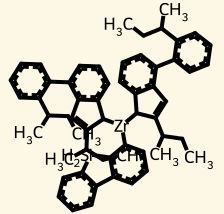 CCC(C)C1=Cc2c(-c3ccccc3C(C)CC)cccc2[CH]1[Zr]([c]1cccc2c1[SiH2]c1ccccc1-2)[CH]1C(C(C)CC)=Cc2c(-c3ccccc3C(C)CC)cccc21